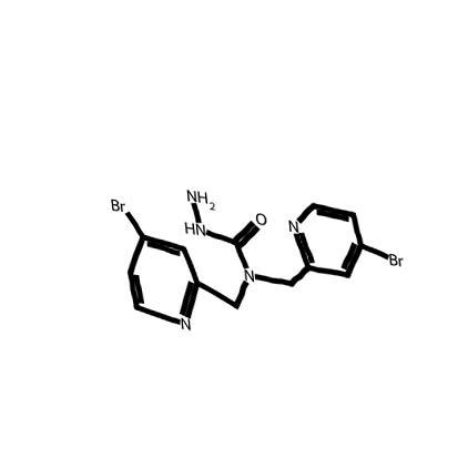 NNC(=O)N(Cc1cc(Br)ccn1)Cc1cc(Br)ccn1